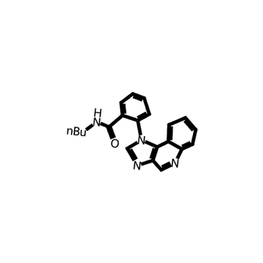 CCCCNC(=O)c1ccccc1-n1cnc2cnc3ccccc3c21